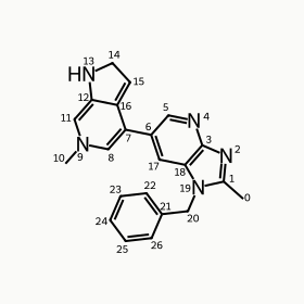 Cc1nc2ncc(C3=CN(C)C=C4NCC=C43)cc2n1Cc1ccccc1